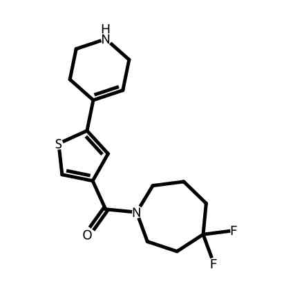 O=C(c1csc(C2=CCNCC2)c1)N1CCCC(F)(F)CC1